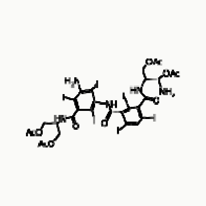 CC(=O)OCC(COC(C)=O)NC(=O)c1c(I)c(N)c(I)c(NC(=O)c2c(I)cc(I)c(C(=O)NC(COC(C)=O)C(N)OC(C)=O)c2I)c1I